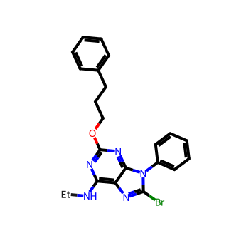 CCNc1nc(OCCCc2ccccc2)nc2c1nc(Br)n2-c1ccccc1